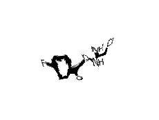 N=C(CCl)NOC(=O)c1ccc(F)cc1